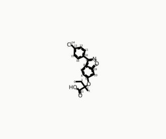 CCC(C)(Oc1ccc2c(-c3ccc(Cl)cc3)noc2c1)C(=O)O